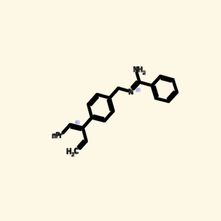 C=C/C(=C\CCC)c1ccc(C/N=C(\N)c2ccccc2)cc1